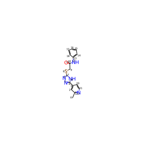 Cc1cc(-c2nnc(SCC(=O)Nc3ccccc3)[nH]2)ccn1